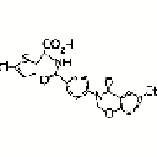 CCc1ccc2c(c1)C(=O)N(c1ccc(C(=O)NC(C(=O)O)C3CC=C(Cl)S3)cc1)CO2